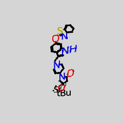 CC(C)(C)[Si](C)(C)O[C@@H]1CC(=O)N(C2CCN(Cc3c[nH]c4cc(Oc5nc6ccccc6s5)ccc34)CC2)C1